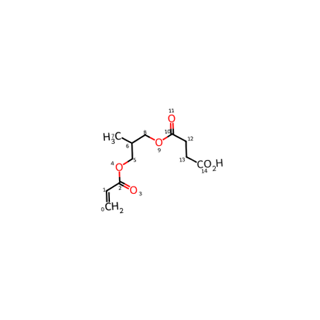 C=CC(=O)OCC(C)COC(=O)CCC(=O)O